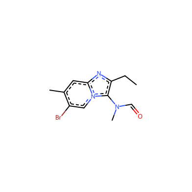 CCc1nc2cc(C)c(Br)cn2c1N(C)C=O